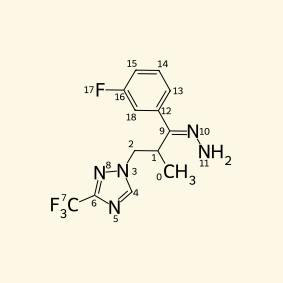 CC(Cn1cnc(C(F)(F)F)n1)C(=NN)c1cccc(F)c1